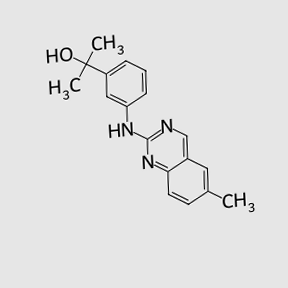 Cc1ccc2nc(Nc3cccc(C(C)(C)O)c3)ncc2c1